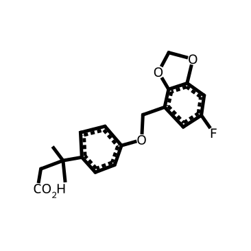 CC(C)(CC(=O)O)c1ccc(OCc2cc(F)cc3c2OCO3)cc1